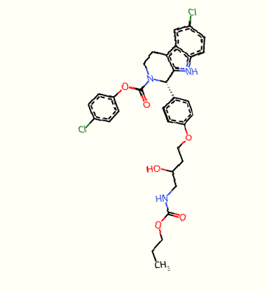 CCCOC(=O)NCC(O)CCOc1ccc([C@H]2c3[nH]c4ccc(Cl)cc4c3CCN2C(=O)Oc2ccc(Cl)cc2)cc1